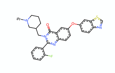 CC(C)N1CCCC(Cn2c(-c3ccccc3F)nc3ccc(Oc4ccc5ncsc5c4)cc3c2=O)C1